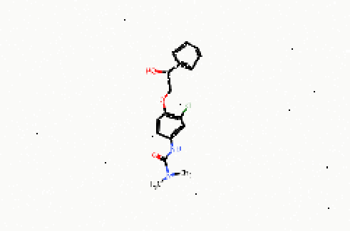 CN(C)C(=O)Nc1ccc(OCC(O)c2ccccc2)c(Cl)c1